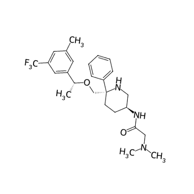 Cc1cc([C@@H](C)OC[C@@]2(c3ccccc3)CC[C@H](NC(=O)CN(C)C)CN2)cc(C(F)(F)F)c1